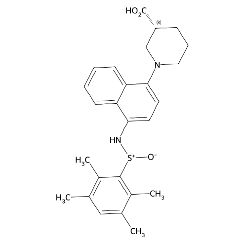 Cc1cc(C)c(C)c([S+]([O-])Nc2ccc(N3CCC[C@@H](C(=O)O)C3)c3ccccc23)c1C